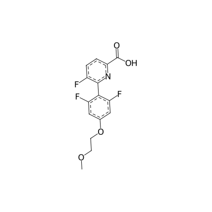 COCCOc1cc(F)c(-c2nc(C(=O)O)ccc2F)c(F)c1